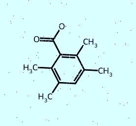 Cc1cc(C)c(C)c(C([O])=O)c1C